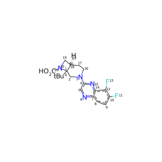 CC(C)(C)C12CN(c3cnc4ccc(F)c(F)c4n3)CC[C@@H]1CN2C(=O)O